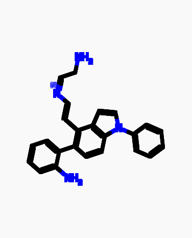 NC/C=N\C=Cc1c(-c2ccccc2N)ccc2c1ccn2-c1ccccc1